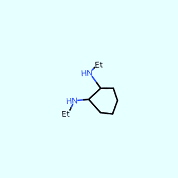 CCNC1CCCCC1NCC